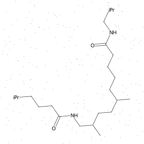 CC(C)CCCC(=O)NCC(C)CCC(C)CCCCC(=O)NCC(C)C